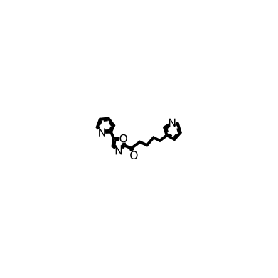 O=C(CCCCc1cccnc1)c1ncc(-c2ccccn2)o1